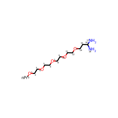 CCCOCCOCCOCCOCCOCCC(N)N